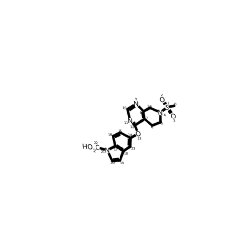 CS(=O)(=O)N1CCc2c(ncnc2Oc2ccc3c(ccn3C(=O)O)c2)C1